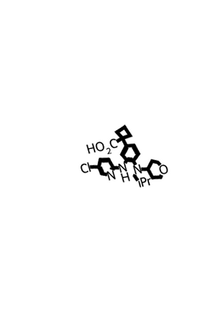 CC(C)CN(c1ccc(C2(C(=O)O)CCC2)cc1Nc1ccc(Cl)cn1)C1CCOCC1